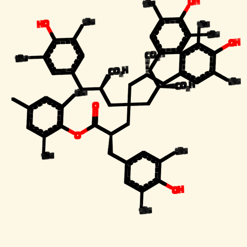 Cc1cc(C(C)(C)C)c(OC(=O)[C@H](Cc2cc(C(C)(C)C)c(O)c(C(C)(C)C)c2)CC(C[C@@H](Cc2cc(C(C)(C)C)c(O)c(C(C)(C)C)c2)C(=O)O)(C[C@@H](Cc2cc(C(C)(C)C)c(O)c(C(C)(C)C)c2)C(=O)O)C[C@@H](Cc2cc(C(C)(C)C)c(O)c(C(C)(C)C)c2)C(=O)O)c(C(C)(C)C)c1